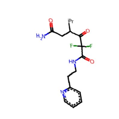 CC(C)C(CC(N)=O)C(=O)C(F)(F)C(=O)NCCc1ccccn1